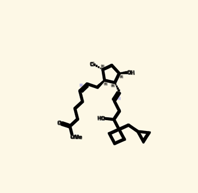 COC(=O)CCC/C=C\C[C@@H]1[C@@H](/C=C/CC(O)C2(CC3CC3)CCC2)[C@H](O)C[C@H]1Cl